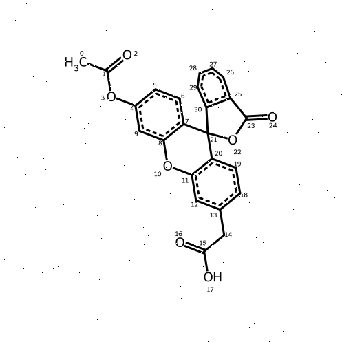 CC(=O)Oc1ccc2c(c1)Oc1cc(CC(=O)O)ccc1C21OC(=O)c2ccccc21